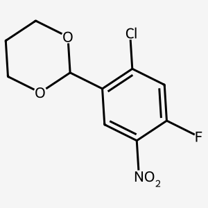 O=[N+]([O-])c1cc(C2OCCCO2)c(Cl)cc1F